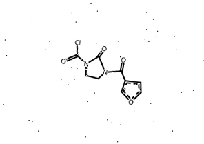 O=C(Cl)N1CCN(C(=O)c2ccoc2)C1=O